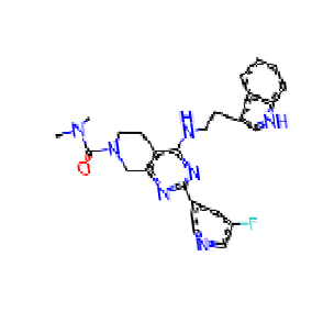 CN(C)C(=O)N1CCc2c(nc(-c3cncc(F)c3)nc2NCCc2c[nH]c3ccccc23)C1